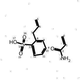 C=CC(N)=O.C=CCc1ccccc1S(=O)(=O)O